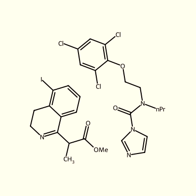 CCCN(CCOc1c(Cl)cc(Cl)cc1Cl)C(=O)n1ccnc1.COC(=O)C(C)C1=NCCc2c(I)cccc21